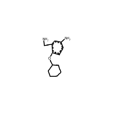 NCc1cc(N)ccc1OC1CCCCC1